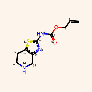 C=CCOC(=O)Nc1nc2c(s1)CCNC2